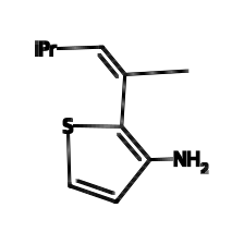 C/C(=C/C(C)C)c1sccc1N